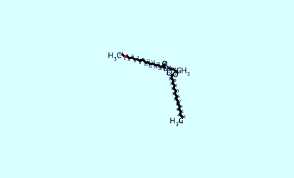 CCCCCCCCC=CCCCCCCCC(=O)OCC(CCC)OC(=O)CCCCCCCC=CCCCCCCCC